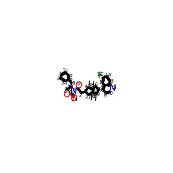 O=C(CC1C[C@@H]2C[C@H](c3ccnc4ccc(F)cc34)C[C@@H]2C1)N1C(=O)OC[C@H]1Cc1ccccc1